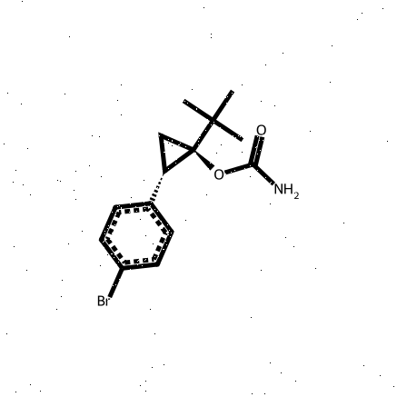 CC(C)(C)[C@@]1(OC(N)=O)C[C@H]1c1ccc(Br)cc1